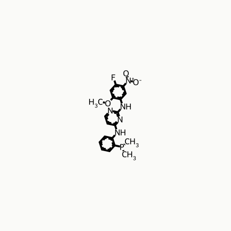 COc1cc(F)c([N+](=O)[O-])cc1Nc1nccc(Nc2ccccc2P(C)C)n1